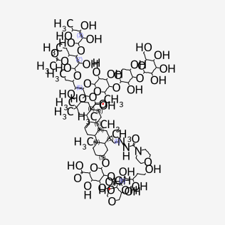 CCC(OC(C)=O)/C(OC(O)/C(O)=C(/O)C(C)O)=C(/O)C(O)OC(CC)/C(O)=C(\OC1OC(C)C(OC2OCC(O)C(OC3OC(CO)C(O)C(O)C3O)C2O)C(O)C1O)C(O)OC(=O)[C@]12CCC(C)(C)CC1C1=CCC3[C@@]4(C)CC[C@H](OC5OC(C(=O)O)C(O)C(OC6(O)COCC(O)C6O)C5OC(O)/C(O)=C(\O)C(O)CCO)CC4[C@@](C)(/C=N/NC(=O)N4CCOCC4)C[C@@]3(C)[C@]1(C)C[C@H]2O